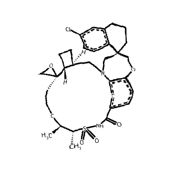 C[C@@H]1[C@@H](C)CCC[C@@]2(CO2)[C@@H]2CC[C@H]2CN2C[C@@]3(CCCc4cc(Cl)ccc43)COc3ccc(cc32)C(=O)NS1(=O)=O